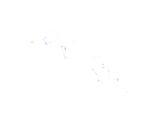 C=CC(=O)Nc1ccc2c(c1)C(=O)N([C@H]1CCC[C@@H](Nc3ncc(C(F)(F)F)c(Cl)n3)C1)C2